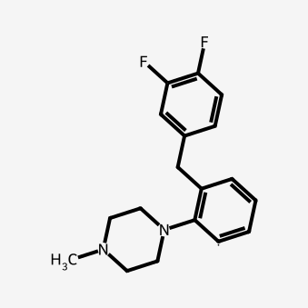 CN1CCN(c2[c]cccc2Cc2ccc(F)c(F)c2)CC1